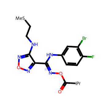 CSCCNc1nonc1/C(=N/OC(=O)C(C)C)Nc1ccc(F)c(Br)c1